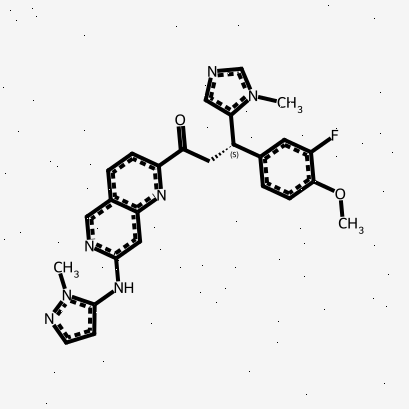 COc1ccc([C@H](CC(=O)c2ccc3cnc(Nc4ccnn4C)cc3n2)c2cncn2C)cc1F